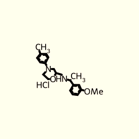 COc1cccc([C@@H](C)NCC2CN(c3ccc(C)cc3)CCO2)c1.Cl